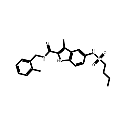 CCCCS(=O)(=O)Nc1ccc2[nH]c(C(=O)NCc3ccccc3C)c(C)c2c1